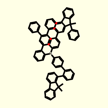 CC1(C)c2ccccc2-c2cccc(-c3ccccc3-c3ccc(N(c4ccc(-c5ccc6c(c5)C(C)(c5ccccc5)c5ccccc5-6)cc4)c4ccccc4-c4ccc(-c5ccccc5)c(-c5ccccc5)c4)cc3)c21